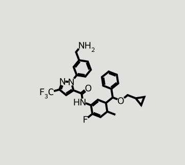 CC1C=C(F)C(NC(=O)c2cc(C(F)(F)F)nn2-c2cccc(CN)c2)=CC1C(OCC1CC1)c1ccccc1